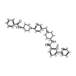 O=C(NC1CCN(c2ccc(CN3CCC(NC(=O)c4cccc(-c5ccccn5)c4F)CC3)cn2)CC1)c1ccccc1